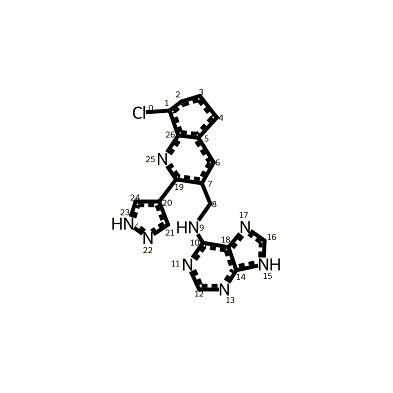 Clc1cccc2cc(CNc3ncnc4[nH]cnc34)c(-c3cn[nH]c3)nc12